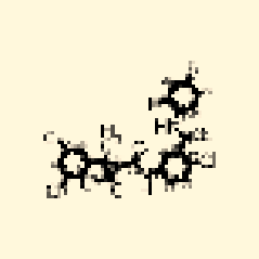 CC1(c2cc(Cl)cc(Cl)c2)C(C(=O)Nc2ccc(Cl)c(C(=O)Nc3ccc(F)cc3F)c2)C1(Cl)Cl